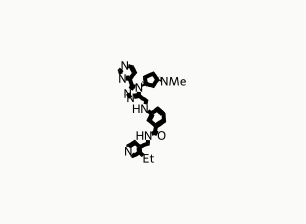 CCc1cnccc1CNC(=O)c1cccc(NCc2nnc(-c3ccncn3)n2[C@H]2CC[C@H](NC)C2)c1